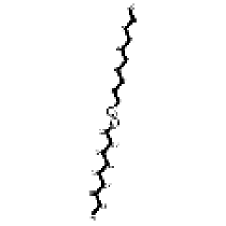 CCCCCCCCCCOOCCCCCCCCC